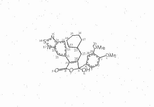 COc1ccc(C2(O)OC(=O)C(c3ccc4nsnc4c3)=C2CC2CCCCC2)cc1OC